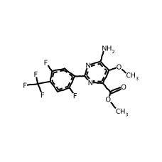 COC(=O)c1nc(-c2cc(F)c(C(F)(F)F)cc2F)nc(N)c1OC